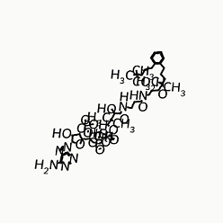 CC(C)(CCCc1ccccc1CCCC(C)(C)C(=O)CCNC(=O)CCNC(=O)C(O)C(C)(C)COP(=O)(O)OP(=O)(O)OCC1OC(n2cnc3c(N)ncnc32)C(O)C1OP(=O)(O)O)C(=O)O